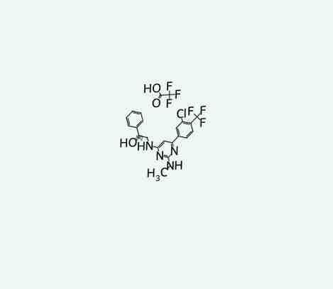 CNc1nc(NC[C@H](O)c2ccccc2)cc(-c2ccc(C(F)(F)F)c(Cl)c2)n1.O=C(O)C(F)(F)F